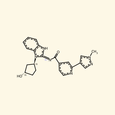 Cn1cc(-c2cc(C(=O)/N=c3\[nH]c4ccccc4n3[C@H]3CC[C@H](O)C3)ccn2)cn1